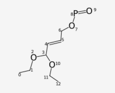 CCOC(/C=C/COP=O)OCC